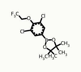 CC1(C)OB(c2cc(Cl)c(OCC(F)(F)F)c(Cl)c2)OC1(C)C